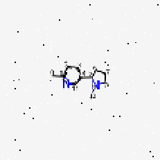 Cc1ccc(C2CCCN2C)cn1